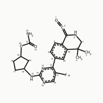 CC1(C)CNC(=C=O)c2ccc(-c3nc(NC4CCC(OC(N)=O)C4)ncc3F)cc21